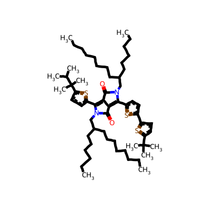 CCCCCCCCC(CCCCCC)CN1C(=O)C2=C(c3ccc(C(C)(C)C(C)C)s3)N(CC(CCCCCC)CCCCCCCC)C(=O)C2=C1c1ccc(-c2ccc(C(C)(C)C)s2)s1